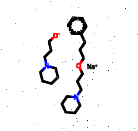 [Na+].[O-]CCCN1CCCCC1.c1ccc(CCCOCCCN2CCCCC2)cc1